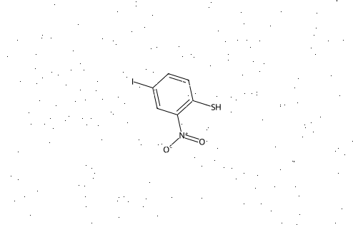 O=[N+]([O-])c1cc(I)ccc1S